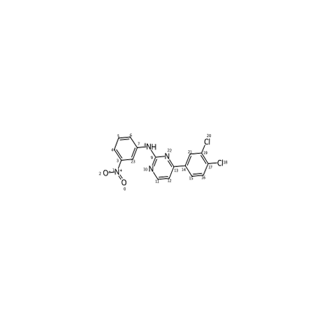 O=[N+]([O-])c1cccc(Nc2nccc(-c3ccc(Cl)c(Cl)c3)n2)c1